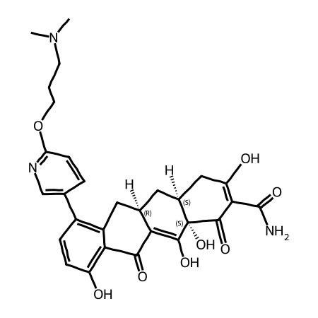 CN(C)CCCOc1ccc(-c2ccc(O)c3c2C[C@H]2C[C@H]4CC(O)=C(C(N)=O)C(=O)[C@@]4(O)C(O)=C2C3=O)cn1